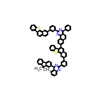 CC1(C)c2ccccc2-c2ccc(-c3nc(-c4cccc(-c5ccc6cc(-c7ccc8c(ccc9c(-c%10ccccc%10)nc(-c%10cccc(-c%11ccc%12ccc%13c%14ccccc%14sc%13c%12c%11)c%10)nc98)c7)c7c8ccccc8sc7c6c5)c4)nc4ccccc34)cc21